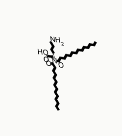 CCCCCCCCCCCCCC(=O)N(C(=O)CCCCCCCCCCCCC)[C@@H](CCCCN)C(=O)O